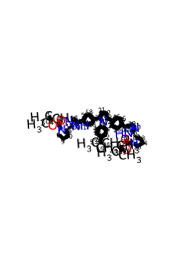 CC(C)(C)OC(=O)N1CCC[C@H]1c1ncc(-c2ccc(-c3ccc(-c4ccc(-c5cnc([C@@H]6CCCN6C(=O)OC(C)(C)C)[nH]5)cc4)n3-c3ccc(C(C)(C)C)cc3)cc2)[nH]1